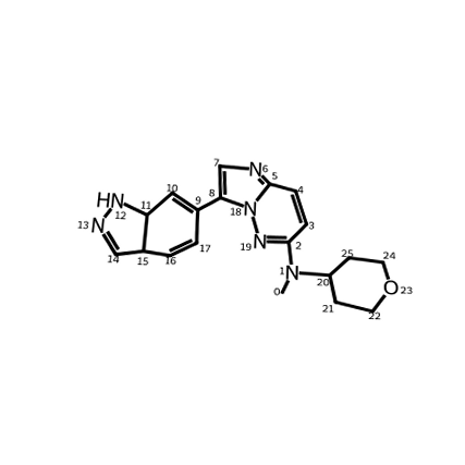 CN(c1ccc2ncc(C3=CC4NN=CC4C=C3)n2n1)C1CCOCC1